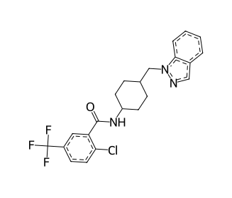 O=C(NC1CCC(Cn2ncc3ccccc32)CC1)c1cc(C(F)(F)F)ccc1Cl